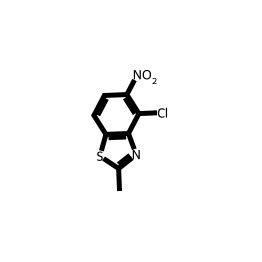 Cc1nc2c(Cl)c([N+](=O)[O-])ccc2s1